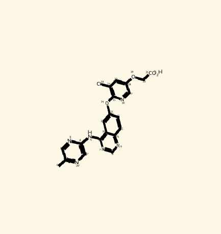 Cc1cnc(Nc2ncnc3ccc(Oc4ncc(OCC(=O)O)cc4Cl)cc23)cn1